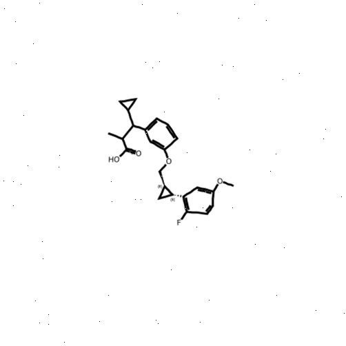 COc1ccc(F)c([C@@H]2C[C@H]2COc2cccc(C(C3CC3)C(C)C(=O)O)c2)c1